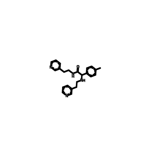 Cc1ccc(C(NCCc2cccnc2)C(=O)NCCc2cccnc2)cc1